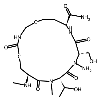 CN[C@H]1CCC(=O)NCCCC[C@@H](C(N)=O)NC(=O)[C@H](CO)N(N)C(=O)[C@H](C(C)O)N(C)C1=O